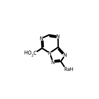 O=C(O)c1ncnc2n[c]([RaH])nn12